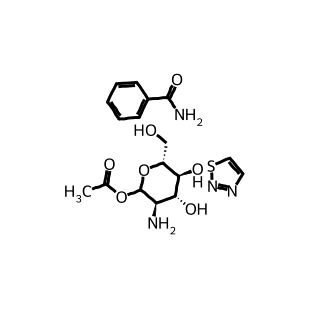 CC(=O)OC1O[C@H](CO)[C@@H](O)[C@H](O)[C@H]1N.NC(=O)c1ccccc1.c1csnn1